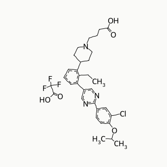 CCc1c(-c2cnc(-c3ccc(OC(C)C)c(Cl)c3)nc2)cccc1C1CCN(CCCC(=O)O)CC1.O=C(O)C(F)(F)F